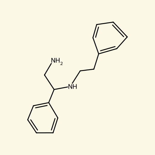 NCC(NCCc1ccccc1)c1ccccc1